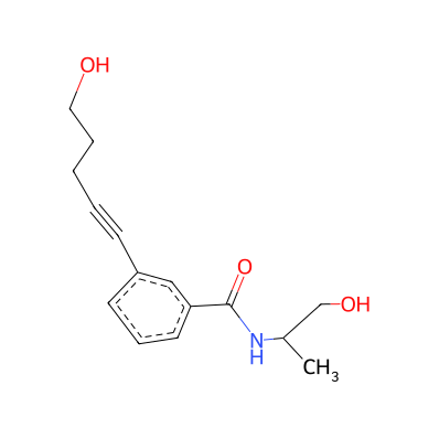 CC(CO)NC(=O)c1cccc(C#CCCCO)c1